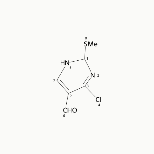 CSC1N=C(Cl)C(C=O)=CN1